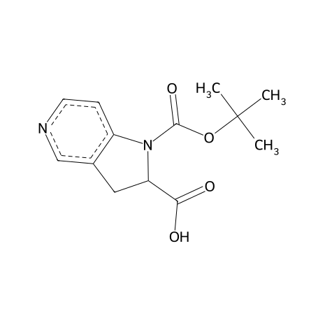 CC(C)(C)OC(=O)N1c2ccncc2CC1C(=O)O